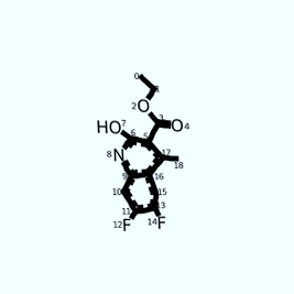 CCOC(=O)c1c(O)nc2cc(F)c(F)cc2c1C